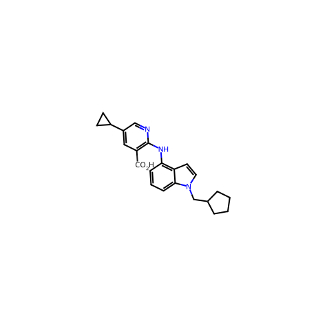 O=C(O)c1cc(C2CC2)cnc1Nc1cccc2c1ccn2CC1CCCC1